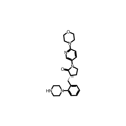 O=C1[C@@H](Cc2ccccc2N2CCNCC2)CCN1c1ccc(N2CCOCC2)nc1